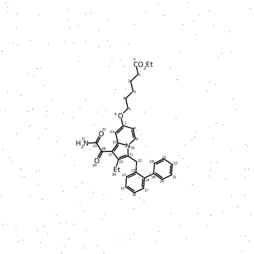 CCOC(=O)CCCCCOc1ccn2c(Cc3ccccc3-c3ccccc3)c(CC)c(C(=O)C(N)=O)c2c1